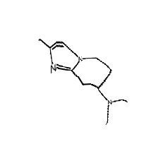 Cc1cn2c(n1)CC(N(C)C)CC2